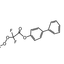 O=C(Oc1ccc(-c2ccccc2)cc1)C(F)(F)OOS